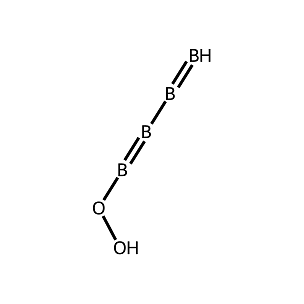 B=BB=BOO